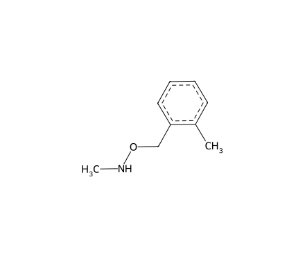 CNOCc1ccccc1C